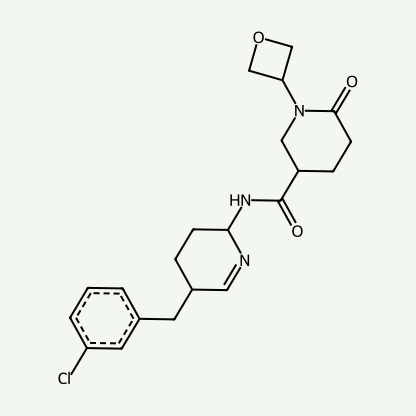 O=C(NC1CCC(Cc2cccc(Cl)c2)C=N1)C1CCC(=O)N(C2COC2)C1